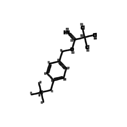 C[Si](C)(C)Cc1ccc(COC(=N)C(Cl)(Cl)Cl)cc1